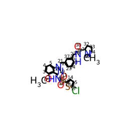 COc1cccc2c1c(NS(=O)(=O)c1ccc(Cl)s1)nn2Cc1cccc(CNC(=O)[C@H]2CCCN2C)c1